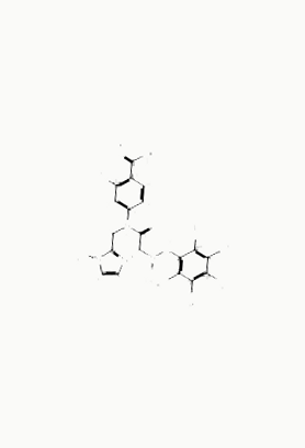 CN(CC(=O)N(Cc1nccn1C)c1ccc(C(=O)O)c(O)c1)Sc1c(F)c(F)c(F)c(F)c1F